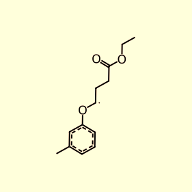 CCOC(=O)CC[CH]Oc1cccc(C)c1